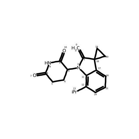 C=C1N(C2CCC(=O)NC2=O)c2c(C(C)C)cccc2C12CC2